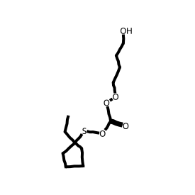 CCC1(SOC(=O)OOCCCCO)CCCC1